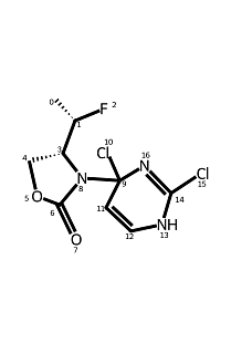 C[C@H](F)[C@H]1COC(=O)N1C1(Cl)C=CNC(Cl)=N1